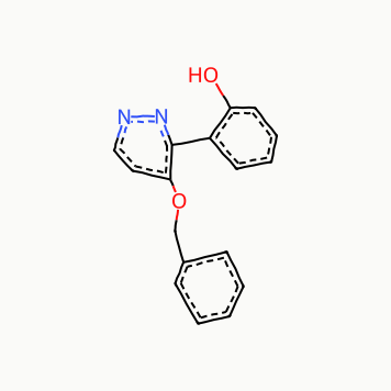 Oc1ccccc1-c1nnccc1OCc1ccccc1